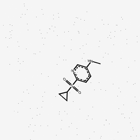 CNc1ccc(S(=O)(=O)C2CC2)nc1